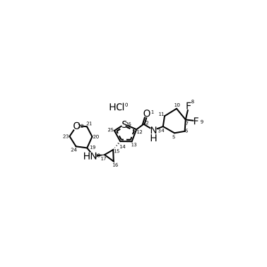 Cl.O=C(NC1CCC(F)(F)CC1)c1cc([C@@H]2C[C@H]2NC2CCOCC2)cs1